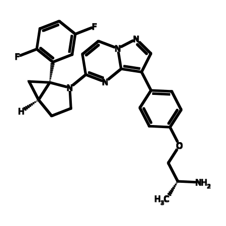 C[C@@H](N)COc1ccc(-c2cnn3ccc(N4CC[C@H]5C[C@]54c4cc(F)ccc4F)nc23)cc1